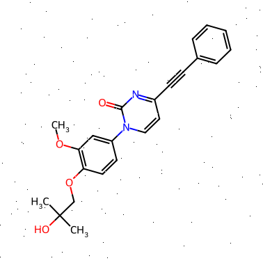 COc1cc(-n2ccc(C#Cc3ccccc3)nc2=O)ccc1OCC(C)(C)O